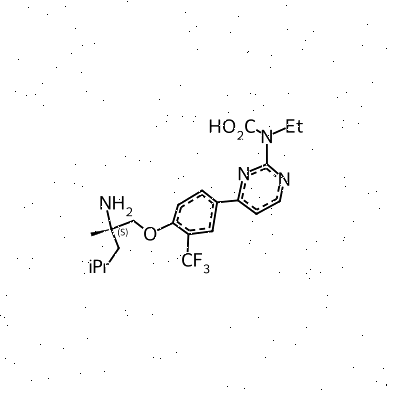 CCN(C(=O)O)c1nccc(-c2ccc(OC[C@@](C)(N)CC(C)C)c(C(F)(F)F)c2)n1